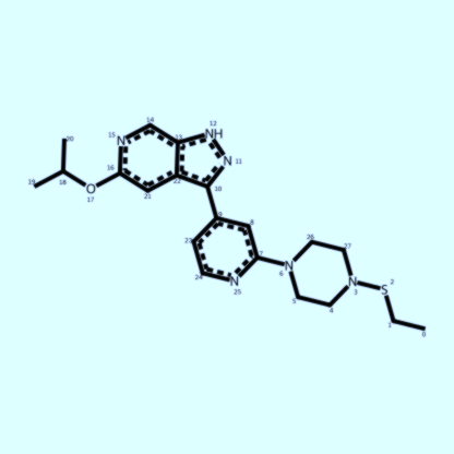 CCSN1CCN(c2cc(-c3n[nH]c4cnc(OC(C)C)cc34)ccn2)CC1